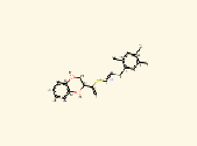 C=C(S/C=C/Cc1cc(C)c(C)cc1C)C1COc2ccccc2O1